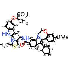 COc1ccc2c(c1)OCCn1c-2c(C2CCCCC2)c2ccc(C(=O)N[C@@H](Cc3c[nH]c4ccc(OC(C)C(=O)O)cc34)c3csc(C)n3)cc21